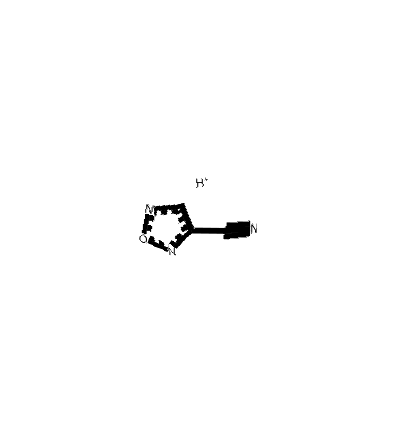 N#Cc1cnon1.[H+]